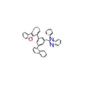 C1=C(c2cc(-c3cccc4ccccc34)cc(-c3nc4ccccc4n3-c3ccccc3)c2)c2oc3ccccc3c2CC1